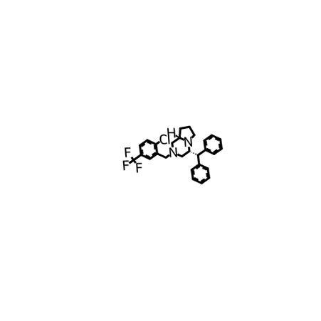 FC(F)(F)c1ccc(Cl)c(CN2C[C@@H]3CCCN3[C@H](C(c3ccccc3)c3ccccc3)C2)c1